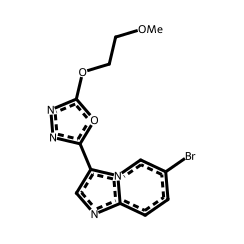 COCCOc1nnc(-c2cnc3ccc(Br)cn23)o1